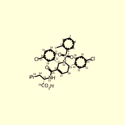 Cc1ccccc1S(=O)(=O)N1[C@@H](c2cccc(Cl)c2)C(C(=O)N[C@@H](CC(C)C)C(=O)O)=CC[C@H]1c1ccc(Cl)cc1